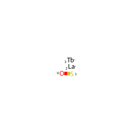 O=S.[La].[Tb]